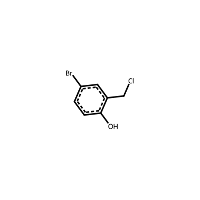 Oc1ccc(Br)cc1CCl